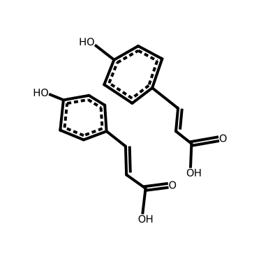 O=C(O)C=Cc1ccc(O)cc1.O=C(O)C=Cc1ccc(O)cc1